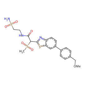 COCc1ccc(-c2ccc3nc(C(C(=O)NCCS(N)(=O)=O)S(C)(=O)=O)sc3c2)cc1